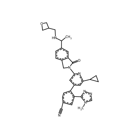 CC(NCC1COC1)c1ccc2c(c1)C(=O)N(c1cc(-c3ccc(C#N)cc3-c3nncn3C)cc(C3CC3)n1)C2